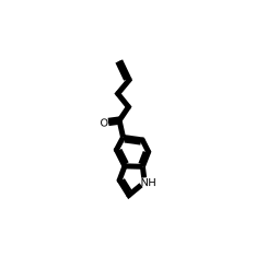 C=CCCC(=O)c1ccc2[nH]ccc2c1